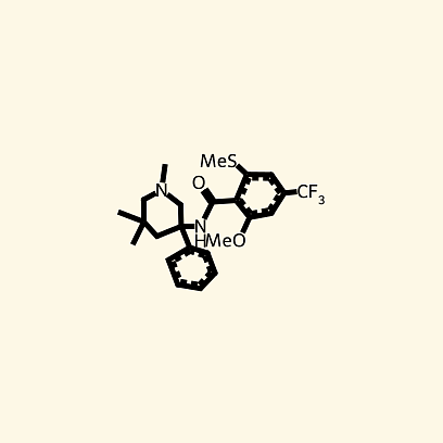 COc1cc(C(F)(F)F)cc(SC)c1C(=O)NC1(c2ccccc2)CN(C)CC(C)(C)C1